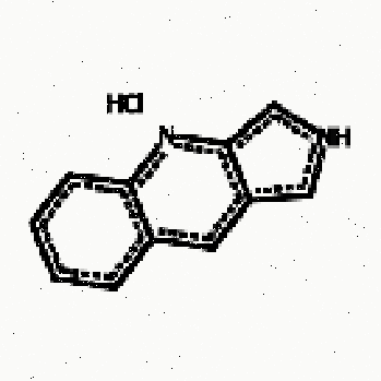 Cl.c1ccc2nc3c[nH]cc3cc2c1